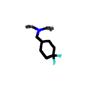 CC(C)(C)N(CC1CCC(F)(F)CC1)C(=O)O